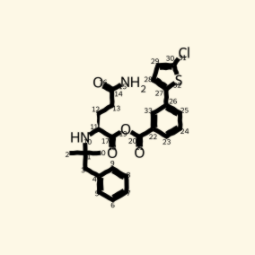 CC(C)(Cc1ccccc1)N[C@@H](CCC(N)=O)C(=O)OC(=O)c1cccc(-c2ccc(Cl)s2)c1